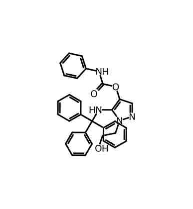 O=C(Nc1ccccc1)Oc1cnn(CCO)c1NC(c1ccccc1)(c1ccccc1)c1ccccc1